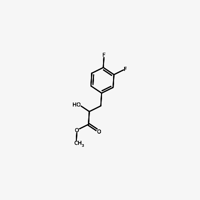 COC(=O)C(O)Cc1ccc(F)c(F)c1